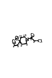 O=C(CCl)N1CCC2(CCOO2)CC1